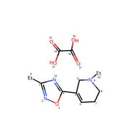 CCc1noc(C2=CCCN(CC)C2)n1.O=C(O)C(=O)O